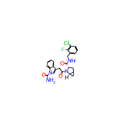 NC(=O)n1cc(CC(=O)N2[C@@H]3CC3C[C@H]2C(=O)NCc2cccc(Cl)c2F)c2ccccc21